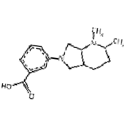 CC1CCC2CN(c3cccc(C(=O)O)c3)CC2N1C